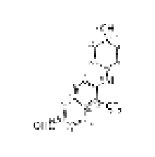 C[C@H]1CC[C@@H](Nc2ccc3cc(C=O)ccc3c2C(F)(F)F)CC1